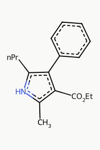 CCCc1[nH]c(C)c(C(=O)OCC)c1-c1ccccc1